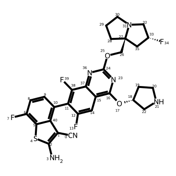 N#Cc1c(N)sc2c(F)ccc(-c3c(F)cc4c(O[C@@H]5CCNC5)nc(OC[C@@]56CCCN5C[C@H](F)C6)nc4c3F)c12